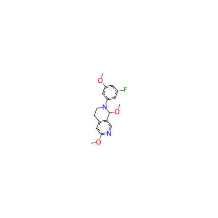 COc1cc(F)cc(N2CCc3cc(OC)ncc3C2OC)c1